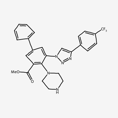 COC(=O)c1cc(-c2ccccc2)cc(-n2cc(-c3ccc(C(F)(F)F)cc3)nn2)c1N1CCNCC1